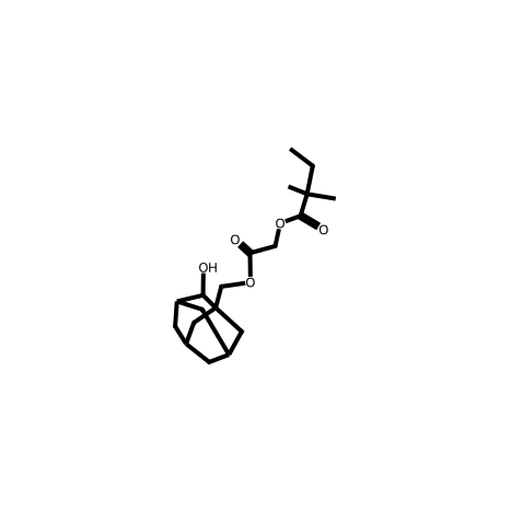 CCC(C)(C)C(=O)OCC(=O)OCC12CC3CC(CC(C3)C1O)C2